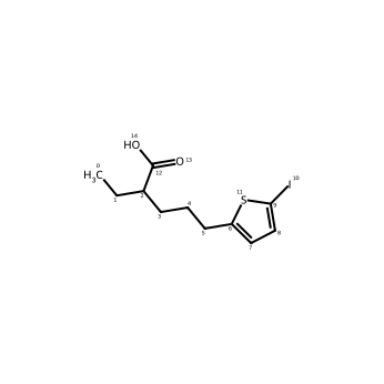 CCC(CCCc1ccc(I)s1)C(=O)O